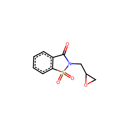 O=C1c2ccccc2S(=O)(=O)N1CC1CO1